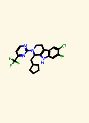 Fc1cc2[nH]c3c(c2cc1Cl)CCN(c1nccc(C(F)(F)F)n1)C3CC1CCCC1